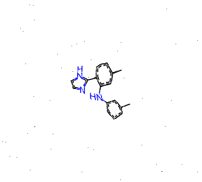 Cc1cccc(Nc2cc(C)ccc2-c2ncc[nH]2)c1